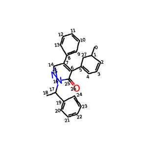 CC1C=CC=C(c2c(-c3ccccc3)cnn(C(C)c3ccccc3)c2=O)C1